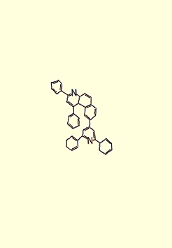 C1=CCC(c2cc(-c3ccc4c(c3)C3C(c5ccccc5)=CC(c5ccccc5)=NC3C=C4)cc(C3=CCCC=C3)n2)C=C1